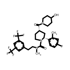 Cc1cc(F)ccc1[C@H]1C[C@@H](C(=O)N2CCC(O)CC2)CCN1C(=O)N(C)CCc1cc(C(F)(F)F)cc(C(F)(F)F)c1